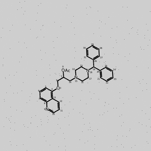 CC(=O)OC(COc1cccc2ncccc12)CN1CCN(C(c2ccccc2)c2ccccc2)CC1